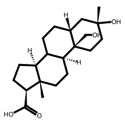 C[C@@]1(O)CC[C@@]2(CO)[C@H](CCC3[C@@H]4CC[C@H](C(=O)O)[C@@]4(C)CC[C@@H]32)C1